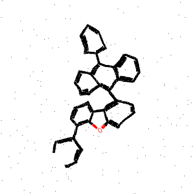 C/C=C\C(=C/C)c1cccc2c1oc1cccc(-c3c4ccccc4c(-c4ccccc4)c4ccccc34)c12